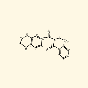 CCC(C(=O)c1ccccc1)C(=O)c1ccc2c(c1)OCCO2